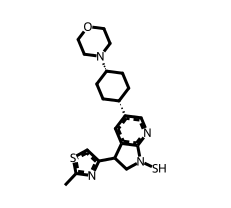 Cc1nc(C2CN(S)c3ncc([C@H]4CC[C@@H](N5CCOCC5)CC4)cc32)cs1